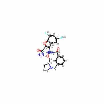 COC[C@@H]1CCCN1Cc1cccc(C(=O)Nc2c(C(N)=O)oc3c(F)cc(F)cc23)c1